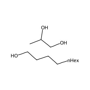 CC(O)CO.CCCCCCCCCCO